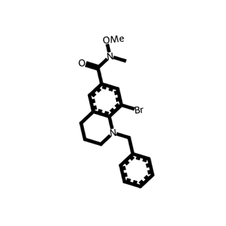 CON(C)C(=O)c1cc(Br)c2c(c1)CCCN2Cc1ccccc1